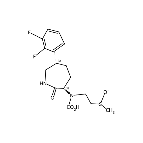 C[S+]([O-])CCN(C(=O)O)[C@@H]1CC[C@@H](c2cccc(F)c2F)CNC1=O